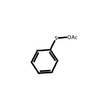 CC(=O)OSc1cc[c]cc1